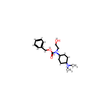 CN(C)C1CCC(N(CCO)C(=O)OCc2ccccc2)CC1